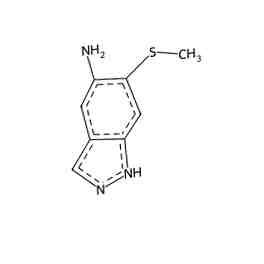 CSc1cc2[nH]ncc2cc1N